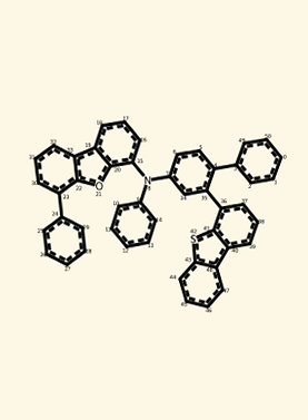 c1ccc(-c2ccc(N(c3ccccc3)c3cccc4c3oc3c(-c5ccccc5)cccc34)cc2-c2cccc3c2sc2ccccc23)cc1